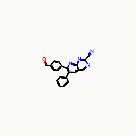 N#Cc1ncc2cc(-c3ccccc3)c(-c3ccc(C=O)cc3)nc2n1